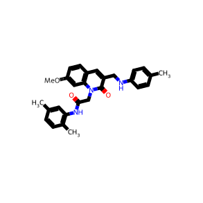 COc1ccc2cc(CNc3ccc(C)cc3)c(=O)n(CC(=O)Nc3cc(C)ccc3C)c2c1